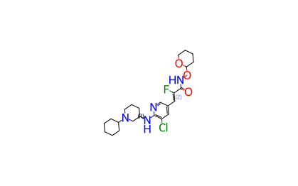 O=C(NOC1CCCCO1)/C(F)=C/c1cnc(N[C@@H]2CCCN(C3CCCCC3)C2)c(Cl)c1